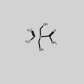 C=CC.NC(=O)N(CO)CO